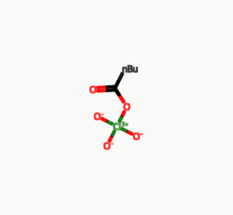 CCCCC(=O)O[Cl+3]([O-])([O-])[O-]